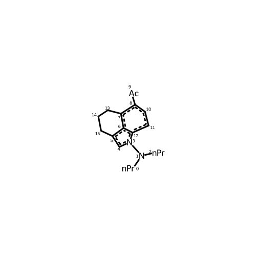 CCCN(CCC)n1cc2c3c(c(C(C)=O)ccc31)CCC2